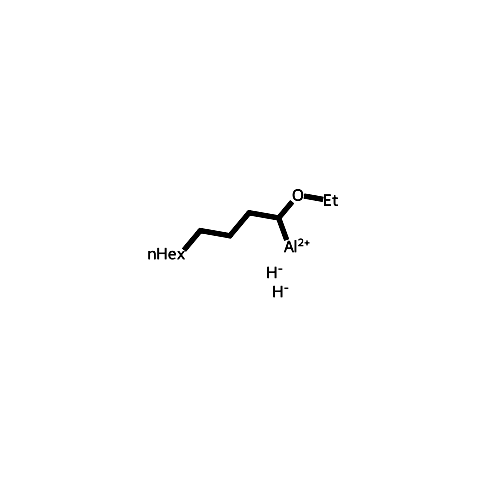 CCCCCCCCC[CH]([Al+2])OCC.[H-].[H-]